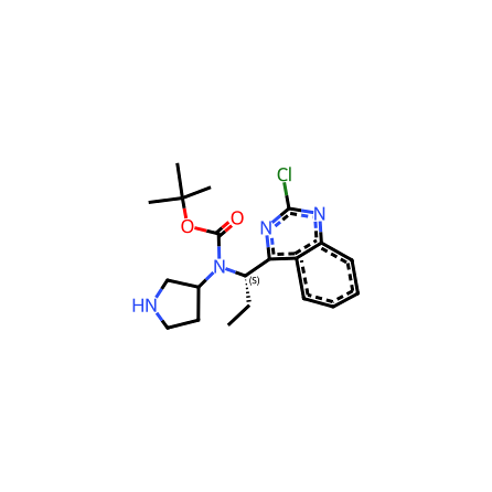 CC[C@@H](c1nc(Cl)nc2ccccc12)N(C(=O)OC(C)(C)C)C1CCNC1